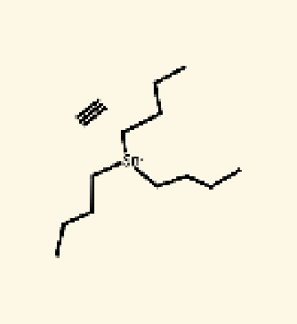 C#C.CCC[CH2][Sn]([CH2]CCC)[CH2]CCC